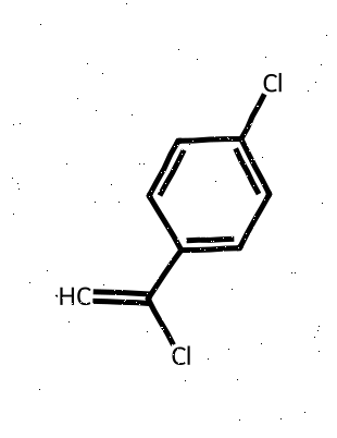 [CH]=C(Cl)c1ccc(Cl)cc1